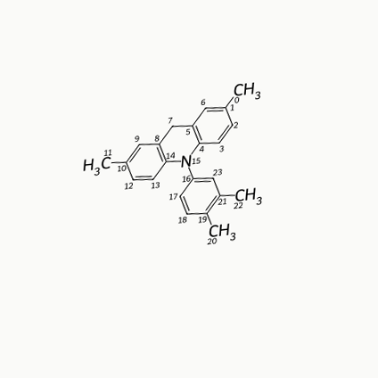 Cc1ccc2c(c1)Cc1cc(C)ccc1N2c1ccc(C)c(C)c1